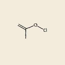 C=C(C)OCl